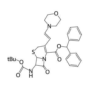 CC(C)(C)OC(=O)NC1C(=O)N2C(C(=O)OC(c3ccccc3)c3ccccc3)=C(C=CN3CCOCC3)CSC12